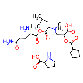 CC(C)C[C@@H](C(=O)OC(=O)[C@@H](N)CCC(N)=O)N(C)CC(OC(=O)C1CCCC1)C(=O)O.O=C(O)[C@@H]1CCCN1